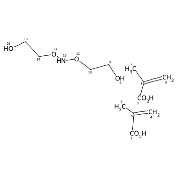 C=C(C)C(=O)O.C=C(C)C(=O)O.OCCONOCCO